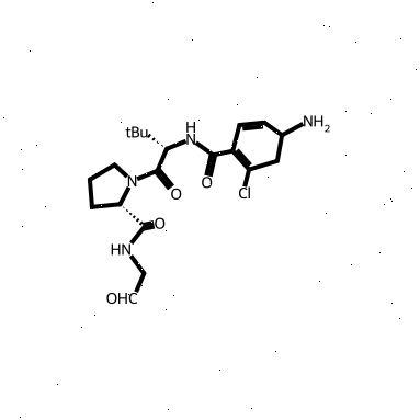 CC(C)(C)[C@H](NC(=O)C1=C(Cl)CC(N)C=C1)C(=O)N1CCC[C@H]1C(=O)NCC=O